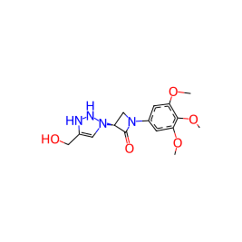 COc1cc(N2C[C@H](N3C=C(CO)NN3)C2=O)cc(OC)c1OC